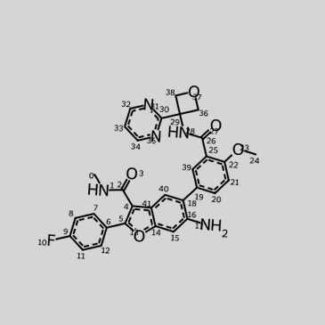 CNC(=O)c1c(-c2ccc(F)cc2)oc2cc(N)c(-c3ccc(OC)c(C(=O)NC4(c5ncccn5)COC4)c3)cc12